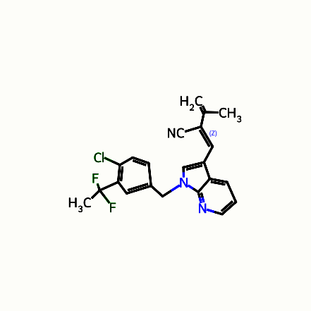 C=C(C)/C(C#N)=C/c1cn(Cc2ccc(Cl)c(C(C)(F)F)c2)c2ncccc12